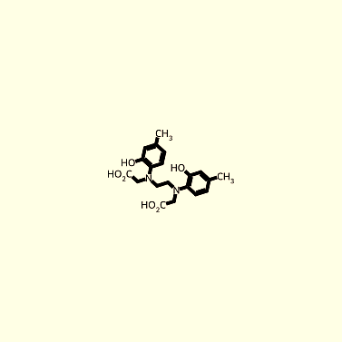 Cc1ccc(N(CCN(CC(=O)O)c2ccc(C)cc2O)CC(=O)O)c(O)c1